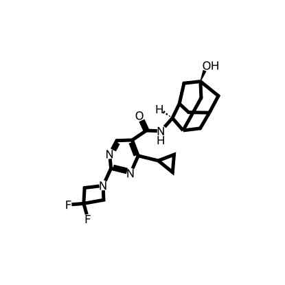 O=C(N[C@H]1C2CC3CC1C[C@@](O)(C3)C2)c1cnc(N2CC(F)(F)C2)nc1C1CC1